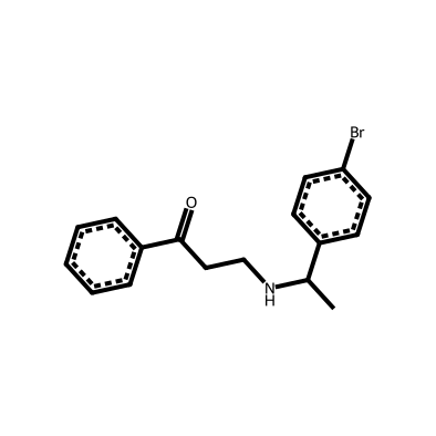 CC(NCCC(=O)c1ccccc1)c1ccc(Br)cc1